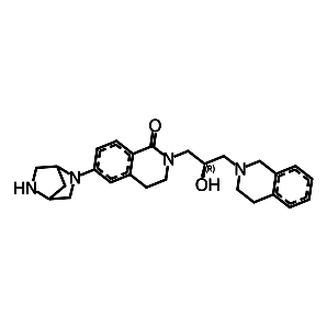 O=C1c2ccc(N3CC4CC3CN4)cc2CCN1C[C@H](O)CN1CCc2ccccc2C1